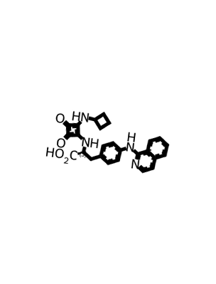 O=C(O)[C@H](Cc1ccc(Nc2nccc3ccccc23)cc1)Nc1c(NC2CCC2)c(=O)c1=O